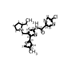 CCC1CCCN1Cc1sc(NC(=O)c2cnc(Cl)cn2)nc1-c1cc(C)cs1